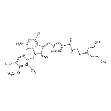 COc1c(C)cnc(CN2C(=O)C(=Cc3cc(C(=O)NCCN(CCO)CCO)c[nH]3)c3c(Cl)nc(N)nc32)c1C